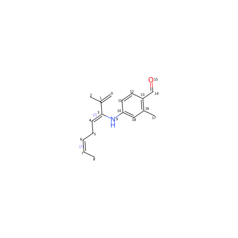 C=C(C)/C(=C/C/C=C\C)Nc1ccc(C=O)c(C)c1